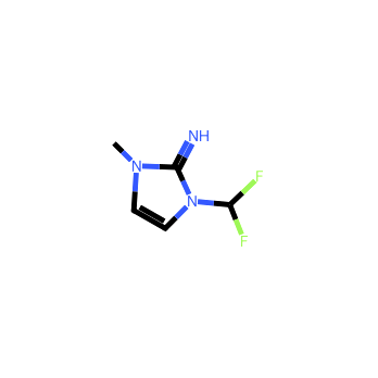 Cn1ccn(C(F)F)c1=N